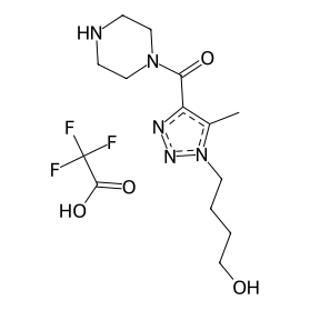 Cc1c(C(=O)N2CCNCC2)nnn1CCCCO.O=C(O)C(F)(F)F